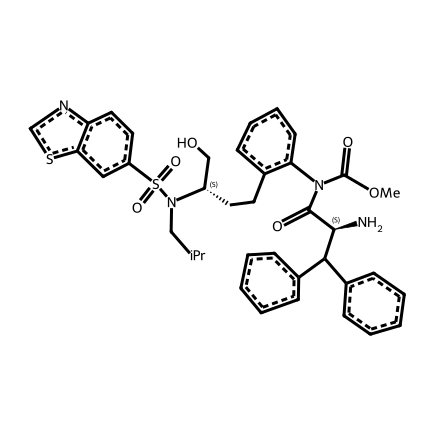 COC(=O)N(C(=O)[C@@H](N)C(c1ccccc1)c1ccccc1)c1ccccc1CC[C@@H](CO)N(CC(C)C)S(=O)(=O)c1ccc2ncsc2c1